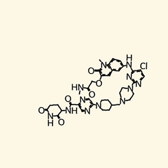 CNC(=O)COc1cc2cc(Nc3nc(N4CCN(CC5CCN(c6cnc(C(=O)NC7CCC(=O)NC7=O)cn6)CC5)CC4)ncc3Cl)ccc2n(C)c1=O